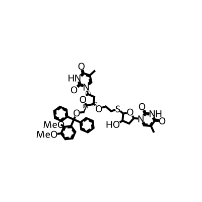 COc1cccc(C(OC[C@H]2O[C@@H](n3cc(C)c(=O)[nH]c3=O)C[C@@H]2OCCSC2OC(n3cc(C)c(=O)[nH]c3=O)CC2O)(c2ccccc2)c2ccccc2)c1OC